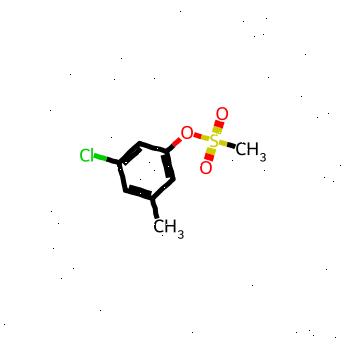 Cc1cc(Cl)cc(OS(C)(=O)=O)c1